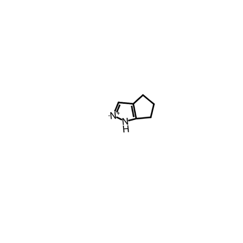 C1=[N+]NC2=C1CCC2